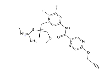 C#CCOc1cnc(C(=O)Nc2cc(F)c(F)c(C[C@](C)(COC)S/C(N)=N\C)c2)cn1